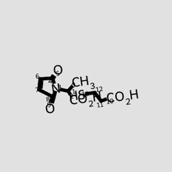 CC(C(=O)O)N1C(=O)C=CC1=O.O=C(O)CCS